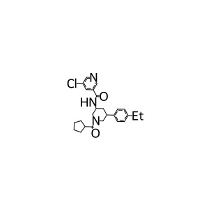 CCc1ccc(C2CC(NC(=O)c3cncc(Cl)c3)CN(C(=O)C3CCCC3)C2)cc1